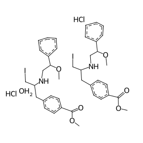 COC(=O)c1ccc(CC(CI)NCC(OC)c2ccccc2)cc1.COC(=O)c1ccc(CC(CI)NCC(OC)c2ccccc2)cc1.Cl.Cl.O